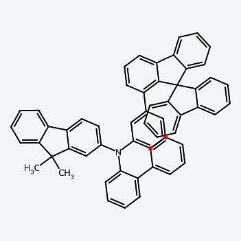 CC1(C)c2ccccc2-c2ccc(N(c3cccc(-c4cccc5c4C4(c6ccccc6-c6ccccc64)c4ccccc4-5)c3)c3ccccc3-c3ccccc3)cc21